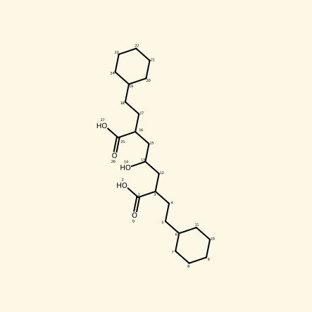 O=C(O)C(CCC1CCCCC1)CC(O)CC(CCC1CCCCC1)C(=O)O